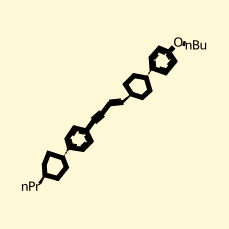 CCCCOc1ccc([C@H]2CC[C@H](C=CC#Cc3ccc([C@H]4CC[C@H](CCC)CC4)cc3)CC2)cc1